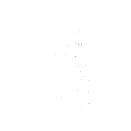 CS(=O)(=O)NC1CCN2CCOCCCCc3ccccc3-c3cccc(c3)CC12